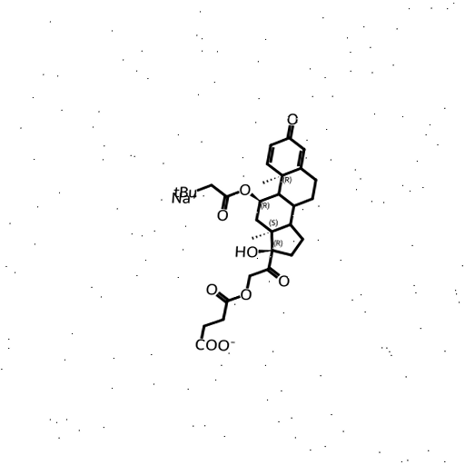 CC(C)(C)CC(=O)O[C@@H]1C[C@@]2(C)C(CC[C@]2(O)C(=O)COC(=O)CCC(=O)[O-])C2CCC3=CC(=O)C=C[C@]3(C)C21.[Na+]